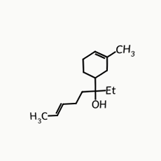 CC=CCCC(O)(CC)C1CCC=C(C)C1